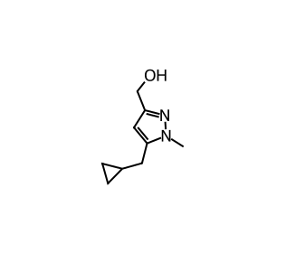 Cn1nc(CO)cc1CC1CC1